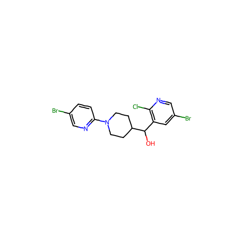 OC(c1cc(Br)cnc1Cl)C1CCN(c2ccc(Br)cn2)CC1